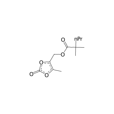 CCCC(C)(C)C(=O)OCc1oc(=O)oc1C